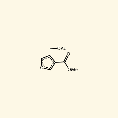 COC(=O)c1ccoc1.COC(C)=O